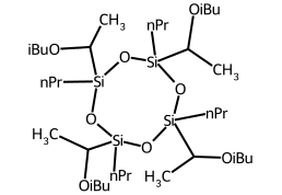 CCC[Si]1(C(C)OCC(C)C)O[Si](CCC)(C(C)OCC(C)C)O[Si](CCC)(C(C)OCC(C)C)O[Si](CCC)(C(C)OCC(C)C)O1